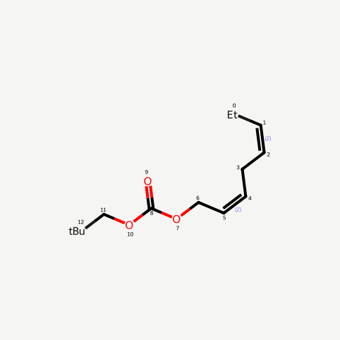 CC/C=C\C/C=C\COC(=O)OCC(C)(C)C